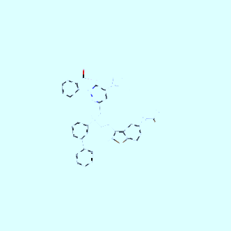 Cc1sc2ccc(NC(N)=S)cc2c1CC[N+](C)(Cc1cc(N(C)C)cnn1)c1cccc(-c2ccccc2)c1.O=C(O)c1ccccc1